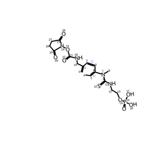 C=C(/C=C\C(=C/C)N(C)C(=S)NCCOP(=O)(O)O)CNC(=O)ON1C(=O)CCC1=O